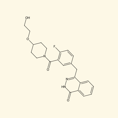 O=C(c1cc(Cc2n[nH]c(=O)c3ccccc23)ccc1F)N1CCC(OCCO)CC1